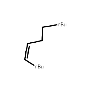 CCCC/C=C\CCCCCC